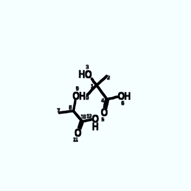 CC(C)(O)C(=O)O.CC(O)C(=O)O